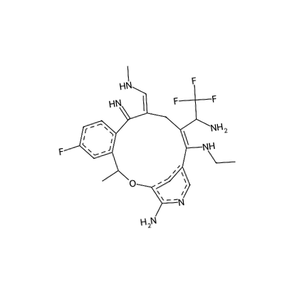 CCN/C1=C(\C(N)C(F)(F)F)C/C(=C/NC)C(=N)c2ccc(F)cc2C(C)Oc2cc1cnc2N